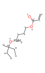 C=CC(=O)OCCC[SiH2]OC(C)(CC)CC